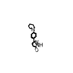 O=c1ccc(-c2ccc(N3CCCCC3)cc2)n[nH]1